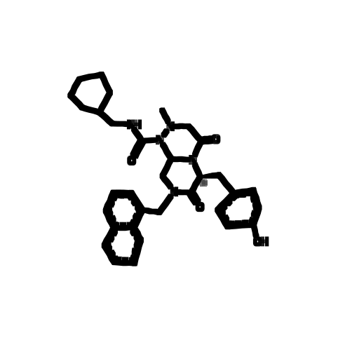 CN1CC(=O)N2C(CN(Cc3cccc4ccccc34)C(=O)[C@@H]2Cc2ccc(O)cc2)N1C(=O)NCC1CCCCC1